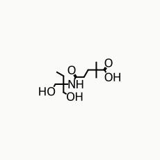 CCC(CO)(CO)NC(=O)CCC(C)(C)C(=O)O